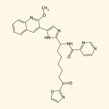 COc1nc2ccccc2cc1-c1cnc(C(CCCCCC(=O)c2ncco2)NC(=O)c2ccncn2)[nH]1